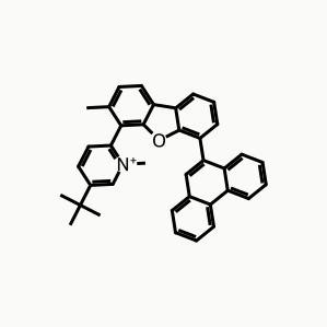 Cc1ccc2c(oc3c(-c4cc5ccccc5c5ccccc45)cccc32)c1-c1ccc(C(C)(C)C)c[n+]1C